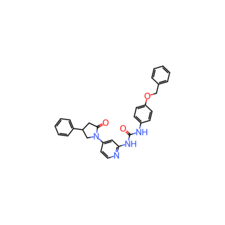 O=C(Nc1ccc(OCc2ccccc2)cc1)Nc1cc(N2CC(c3ccccc3)CC2=O)ccn1